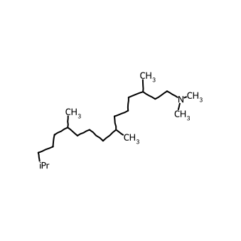 CC(C)CCCC(C)CCCC(C)CCCC(C)CCN(C)C